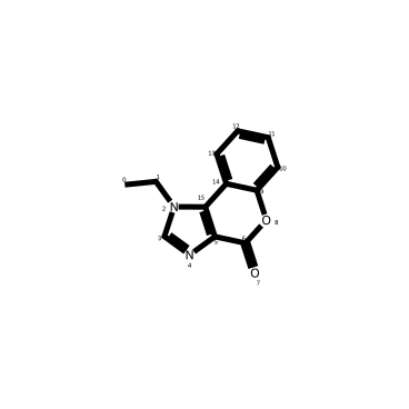 CCn1cnc2c(=O)oc3ccccc3c21